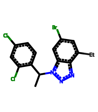 CCc1cc(Br)cc2c1nnn2C(C)c1ccc(Cl)cc1Cl